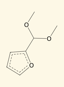 COC(OC)c1ccco1